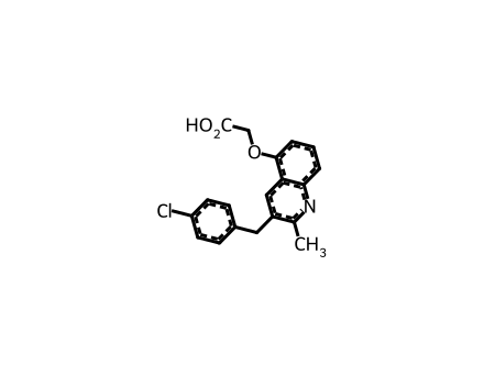 Cc1nc2cccc(OCC(=O)O)c2cc1Cc1ccc(Cl)cc1